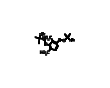 CCCC(C)(C)OOc1ccc(C(=O)O)c(OOC(C)(C)CCC)c1C(=O)O